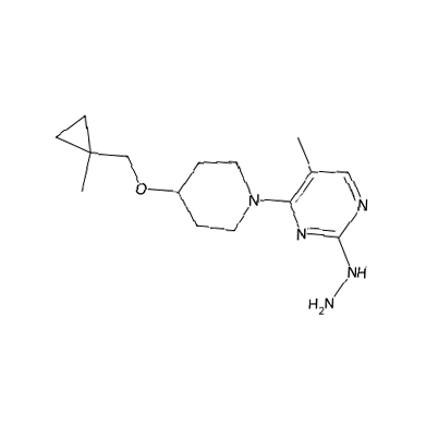 Cc1cnc(NN)nc1N1CCC(OCC2(C)CC2)CC1